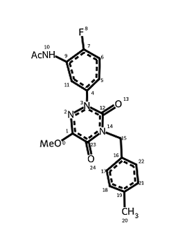 COc1nn(-c2ccc(F)c(NC(C)=O)c2)c(=O)n(Cc2ccc(C)cc2)c1=O